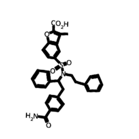 Cc1c(C(=O)O)oc2ccc(S(=O)(=O)N(CCc3ccccc3)C(Cc3ccc(C(N)=O)cc3)c3ccccc3)cc12